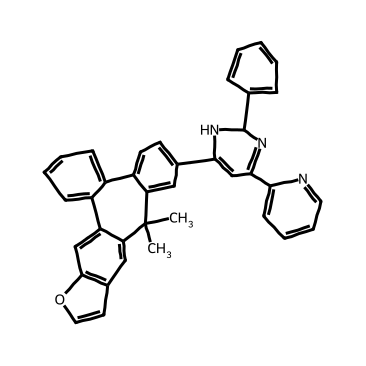 CC1(C)c2cc(C3=CC(c4ccccn4)=NC(c4ccccc4)N3)ccc2-c2ccccc2-c2cc3occc3cc21